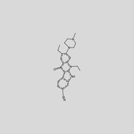 CCc1cc2c(=O)c3c4ccc(C#N)cc4[nH]c3n(CC)c2cc1N1CCN(C)CC1